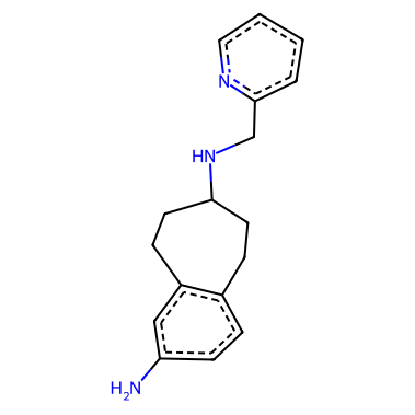 Nc1ccc2c(c1)CCC(NCc1ccccn1)CC2